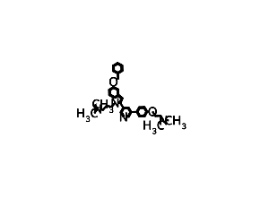 CN(C)CCCn1c(-c2cncc(-c3ccc(OCCN(C)C)cc3)c2)cc2cc(OCc3ccccc3)ccc21